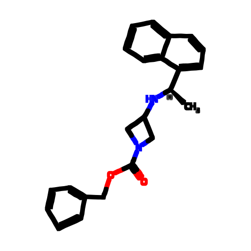 C[C@@H](NC1CN(C(=O)OCc2ccccc2)C1)c1cccc2ccccc12